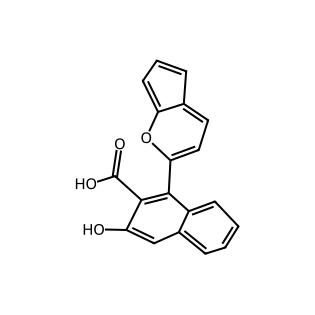 O=C(O)c1c(O)cc2ccccc2c1-c1ccc2cccc-2o1